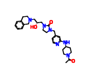 CC(=O)N1CCC(Nc2cc(CN3CCN(C[C@H](O)CN4CCc5ccccc5C4)C3=O)ccn2)CC1